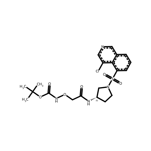 CC(C)(C)OC(=O)NOCC(=O)N[C@H]1CCN(S(=O)(=O)c2cccc3cncc(Cl)c23)C1